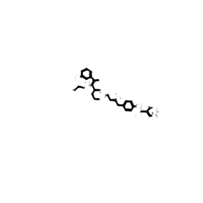 COCCCn1c(C2CCCN(C(=O)C[C@H](N)Cc3ccc(NC(=O)c4cn[nH]c4)cc3)C2)c(C)c2cccc(F)c21